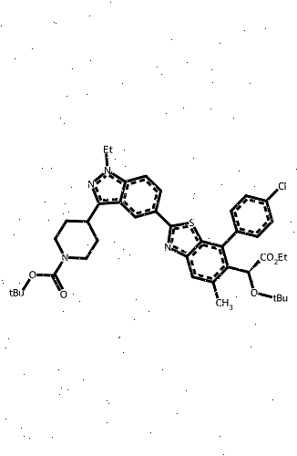 CCOC(=O)[C@@H](OC(C)(C)C)c1c(C)cc2nc(-c3ccc4c(c3)c(C3CCN(C(=O)OC(C)(C)C)CC3)nn4CC)sc2c1-c1ccc(Cl)cc1